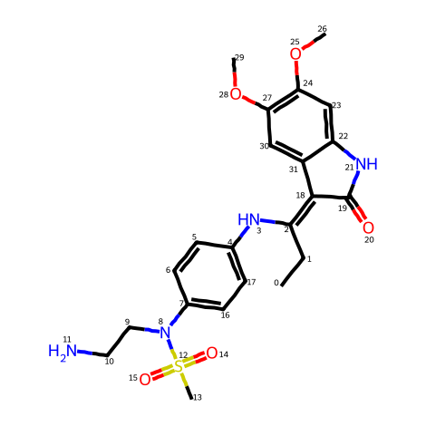 CCC(Nc1ccc(N(CCN)S(C)(=O)=O)cc1)=C1C(=O)Nc2cc(OC)c(OC)cc21